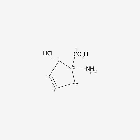 Cl.NC1(C(=O)O)CC=CC1